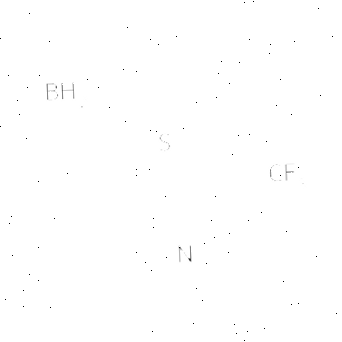 BCc1cnc(C(F)(F)F)s1